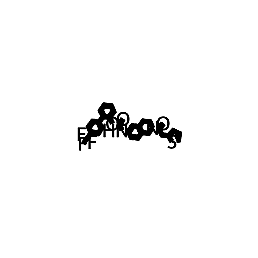 O=C(Nc1ccc2c(c1)CCN(C(=O)Cc1cccs1)C2)Oc1ccccc1-c1ccc(C(F)(F)F)cc1